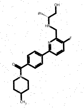 CC1CCN(C(=O)c2ccc(-c3ccc(F)c(CN[C@@H](CO)C(C)C)n3)cc2)CC1